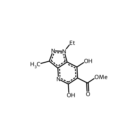 CCn1nc(C)c2nc(O)c(C(=O)OC)c(O)c21